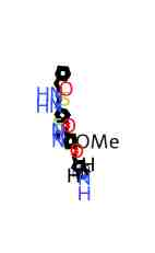 COc1cc2c(Oc3ccc(NC(=S)NC(=O)Cc4ccccc4)cc3F)ncnc2cc1OCC1C[C@H]2CNC[C@H]2C1